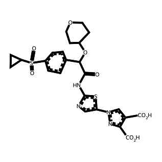 O=C(O)c1cn(-c2cnc(NC(=O)C(OC3CCOCC3)c3ccc(S(=O)(=O)C4CC4)cc3)s2)nc1C(=O)O